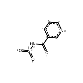 O=C(N[SH](=O)=O)c1cccnc1